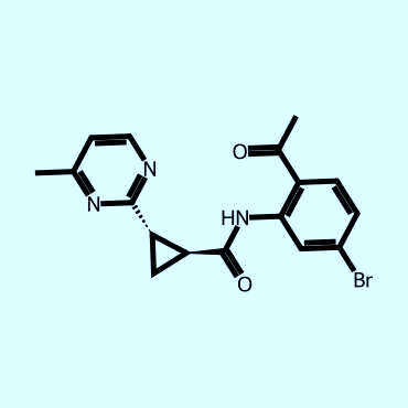 CC(=O)c1ccc(Br)cc1NC(=O)[C@H]1C[C@@H]1c1nccc(C)n1